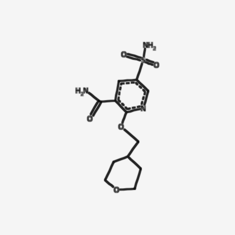 NC(=O)c1cc(S(N)(=O)=O)cnc1OCC1CCOCC1